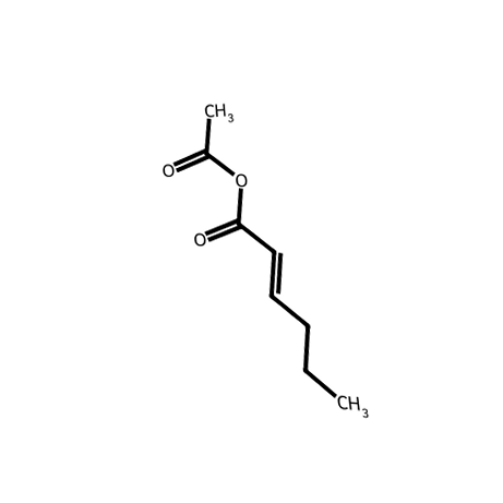 CCCC=CC(=O)OC(C)=O